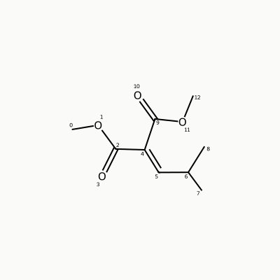 COC(=O)C(=CC(C)C)C(=O)OC